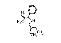 CCN(CC)CN[SiH](c1ccccc1)C(C)C